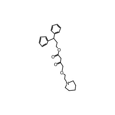 O=C(COCCN1CCCCC1)CC(=O)OCCC(c1ccccc1)c1ccccc1